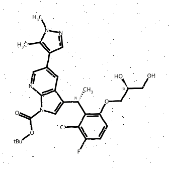 Cc1c(-c2cnc3c(c2)c([C@H](C)c2c(OC[C@@H](O)CO)ccc(F)c2Cl)cn3C(=O)OC(C)(C)C)cnn1C